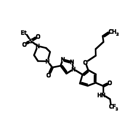 C=CCCCOc1cc(C(=O)NCC(F)(F)F)ccc1-n1cc(C(=O)N2CCN(S(=O)(=O)CC)CC2)nn1